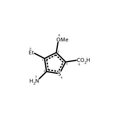 CCc1c(N)sc(C(=O)O)c1OC